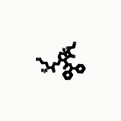 CN(CCO)C(=O)OCC1=CS[C@H]2C(NC=O)C(=O)N2C1C(=O)OC(c1ccccc1)c1ccccc1